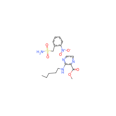 CCCCCNc1nccnc1C(=O)OC.NS(=O)(=O)Cc1ccccc1[N+](=O)[O-]